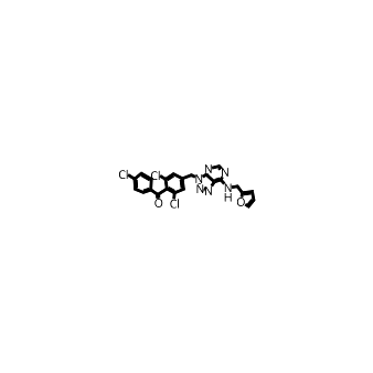 O=C(c1ccc(Cl)cc1)c1c(Cl)cc(Cn2nnc3c(NCc4ccco4)ncnc32)cc1Cl